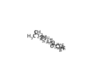 CC(C)CC[SiH]1CCC([C@H]2CC[C@H](OC(=O)c3ccc(C(F)(F)F)cc3)CC2)CC1